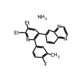 CCc1cc(-c2ccc3nccnc3c2)c(-c2ccc(F)c(C)c2)nc1CC.N